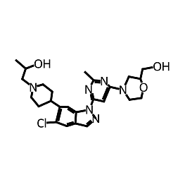 Cc1nc(N2CCOC(CO)C2)cc(-n2ncc3cc(Cl)c(C4CCN(CC(C)O)CC4)cc32)n1